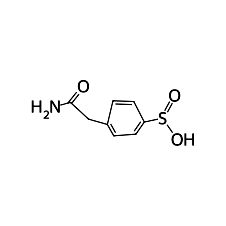 NC(=O)Cc1ccc(S(=O)O)cc1